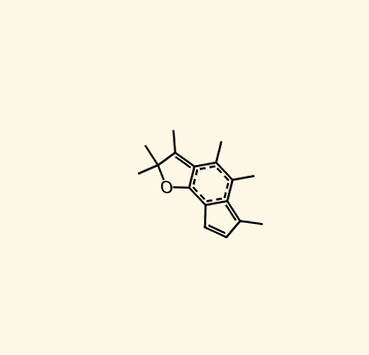 CC1=c2c(C)c(C)c3c(c2C=C1)OC(C)(C)C=3C